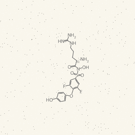 N=C(N)NCCC[C@H](N)C(=O)N(O)S(=O)(=O)c1cc(F)c(Oc2ccc(O)cc2)c(F)c1